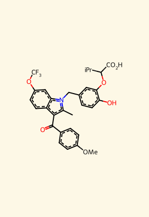 COc1ccc(C(=O)c2c(C)n(Cc3ccc(O)c(OC(C(=O)O)C(C)C)c3)c3cc(OC(F)(F)F)ccc23)cc1